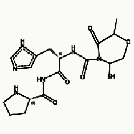 CC1OCC(S)N(C(=O)N[C@@H](Cc2cnc[nH]2)C(=O)NC(=O)[C@@H]2CCCN2)C1=O